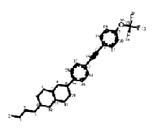 CCCCC1CCC2CC(c3ccc(C#Cc4ccc(OC(F)(F)F)cc4)cc3)CCC2C1